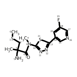 CSCC(C)(N)C(=O)N(C)c1nnc(-c2cncc(F)c2)s1